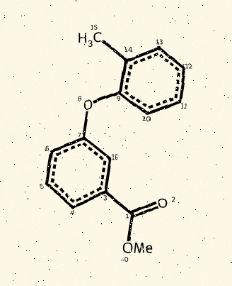 COC(=O)c1cccc(Oc2cc[c]cc2C)c1